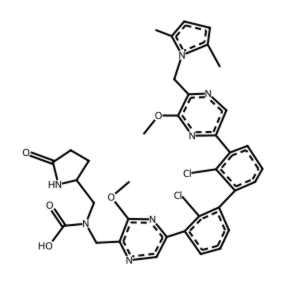 COc1nc(-c2cccc(-c3cccc(-c4cnc(Cn5c(C)ccc5C)c(OC)n4)c3Cl)c2Cl)cnc1CN(CC1CCC(=O)N1)C(=O)O